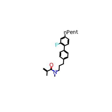 C=C(C)C(=O)N(C)CCCc1ccc(-c2ccc(CCCCC)cc2F)cc1